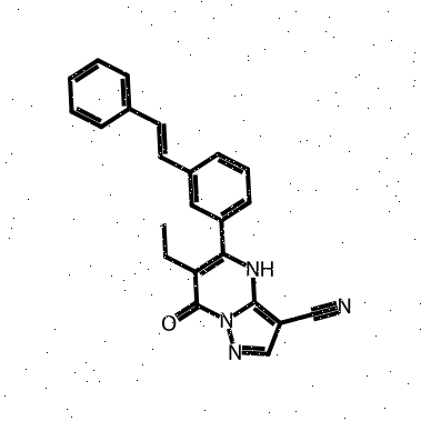 CCc1c(-c2cccc(/C=C/c3ccccc3)c2)[nH]c2c(C#N)cnn2c1=O